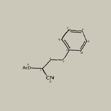 CC(=O)OC(C#N)CCc1ccccc1